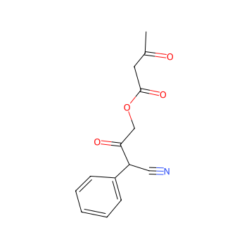 CC(=O)CC(=O)OCC(=O)C(C#N)c1ccccc1